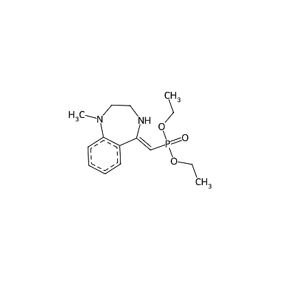 CCOP(=O)(C=C1NCCN(C)c2ccccc21)OCC